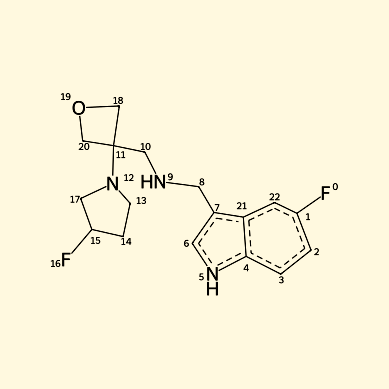 Fc1ccc2[nH]cc(CNCC3(N4CCC(F)C4)COC3)c2c1